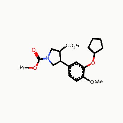 COc1ccc(C2CN(C(=O)OC(C)C)CC2C(=O)O)cc1OC1CCCC1